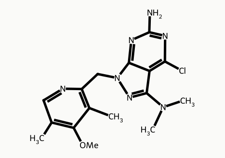 COc1c(C)cnc(Cn2nc(N(C)C)c3c(Cl)nc(N)nc32)c1C